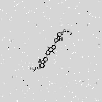 Cc1c2ccc(-c3ccc4c5ccc(CP)cc5n(C)c4c3)cc2c(C)c2ccc(-c3ccc4c5ccc(CP)cc5n(C)c4c3)cc12